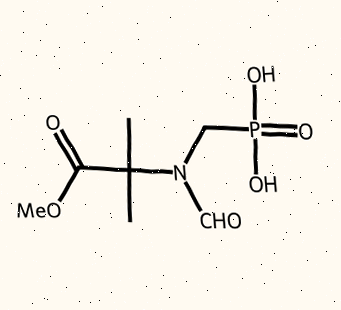 COC(=O)C(C)(C)N(C=O)CP(=O)(O)O